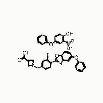 O=C(O)C1CN(Cc2ccc(-c3nc4cc(Oc5ccccc5)ccc4o3)c(F)c2)C1.O=[N+]([O-])c1cc(Oc2ccccc2)ccc1O